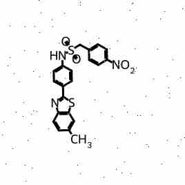 Cc1ccc2nc(-c3ccc(NS(=O)(=O)Cc4ccc([N+](=O)[O-])cc4)cc3)sc2c1